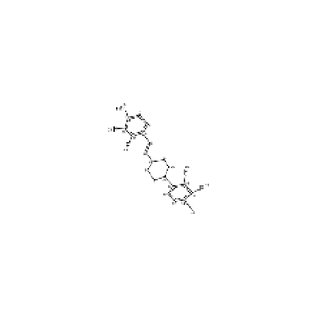 CCCc1ccc(/C=C/C2CCC(c3ccc(C)c(F)c3F)CC2)c(F)c1F